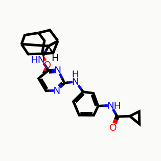 CO[C@]12CC3CC(C1)[C@@H](Nc1ccnc(Nc4cccc(NC(=O)C5CC5)c4)n1)C(C3)C2